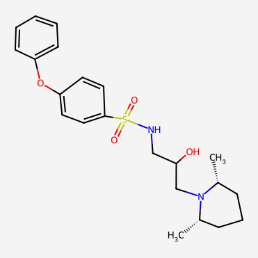 C[C@@H]1CCC[C@H](C)N1CC(O)CNS(=O)(=O)c1ccc(Oc2ccccc2)cc1